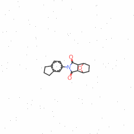 O=C1C2C3CCC(O3)C2C(=O)N1c1ccc2c(c1)CCC2